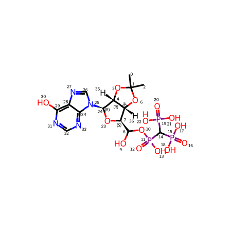 CC1(C)O[C@@H]2[C@H](O1)[C@@H](C(O)OP(=O)(O)C(P(=O)(O)O)P(=O)(O)O)O[C@H]2n1cnc2c(O)ncnc21